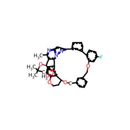 Cc1nc2cc3nn2c(c1[C@H](OC(C)(C)C)C(=O)O)-c1ccc2c(c1)C(CCO2)OCc1cccc(c1)COc1cc(F)ccc1-c1cccc-3c1